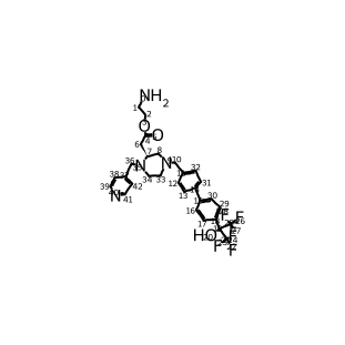 NCCOC(=O)C[C@H]1CN(Cc2ccc(-c3ccc(C(O)(C(F)(F)F)C(F)(F)F)cc3)cc2)CCN1Cc1ccncc1